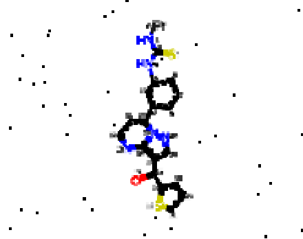 CC(C)NC(=S)Nc1cccc(-c2ccnc3c(C(=O)c4cccs4)cnn23)c1